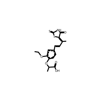 CCOc1cc(C=CC(C)=C2SC(=S)NC2=O)ccc1OC(C)C(=O)O